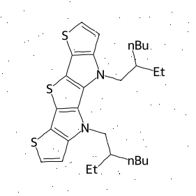 CCCCC(CC)Cn1c2ccsc2c2sc3c4sccc4n(CC(CC)CCCC)c3c21